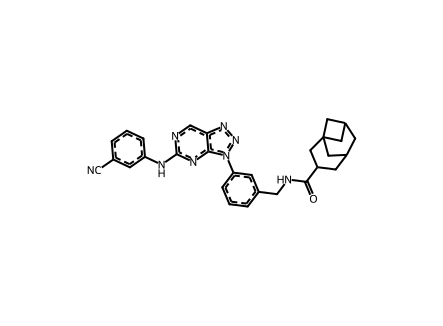 N#Cc1cccc(Nc2ncc3nnn(-c4cccc(CNC(=O)C5CC6CC7CC(C6)(C7)C5)c4)c3n2)c1